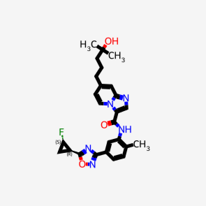 Cc1ccc(-c2noc([C@H]3C[C@@H]3F)n2)cc1NC(=O)c1cnc2cc(CCCC(C)(C)O)ccn12